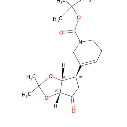 CC(C)(C)OC(=O)N1CCC=C([C@H]2CC(=O)[C@@H]3OC(C)(C)O[C@H]23)C1